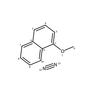 COc1cccc2ccccc12.N#N